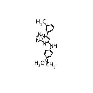 Cc1cccc(-c2cc(Nc3ccc(N(C)C)cc3)nc3ncnn23)c1